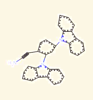 NC#Cc1ccc(-n2c3ccccc3c3ccccc32)cc1-n1c2ccccc2c2ccccc21